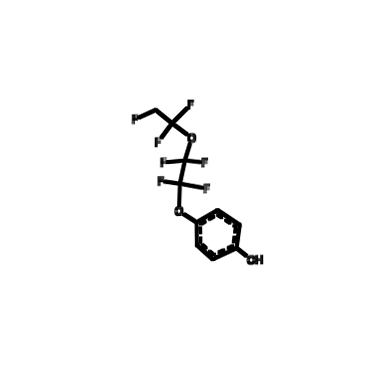 Oc1ccc(OC(F)(F)C(F)(F)OC(F)(F)CF)cc1